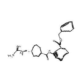 N=C(N)NC[C@H]1CC[C@H](C(=O)Oc2ccccc2C(=O)OCc2ccccc2)CC1